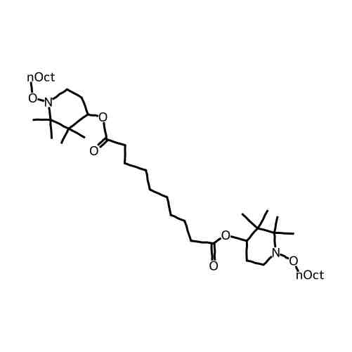 CCCCCCCCON1CCC(OC(=O)CCCCCCCCC(=O)OC2CCN(OCCCCCCCC)C(C)(C)C2(C)C)C(C)(C)C1(C)C